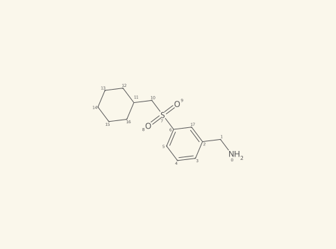 NCc1cccc(S(=O)(=O)CC2CCCCC2)c1